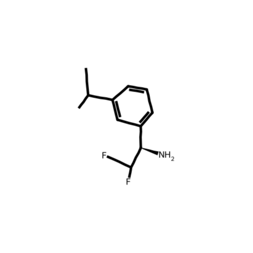 CC(C)c1cccc([C@@H](N)C(F)F)c1